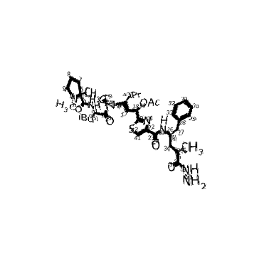 CC[C@H](C)[C@H](NC(=O)[C@@]1(C)CCCN1C)C(=O)N(C)[C@H](CC(OC(C)=O)c1nc(C(=O)N[C@@H](Cc2ccccc2)C[C@H](C)C(=O)NN)cs1)C(C)C